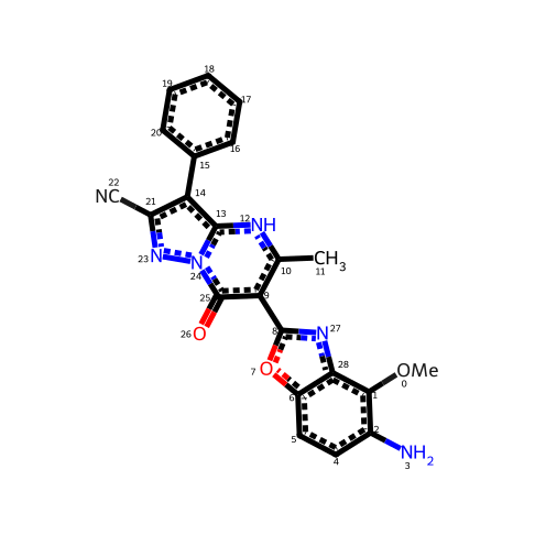 COc1c(N)ccc2oc(-c3c(C)[nH]c4c(-c5ccccc5)c(C#N)nn4c3=O)nc12